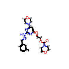 Cc1cccc(C=NNc2nc(OCCOC(=O)N3CCOCC3)cc(N3CCOCC3)n2)c1